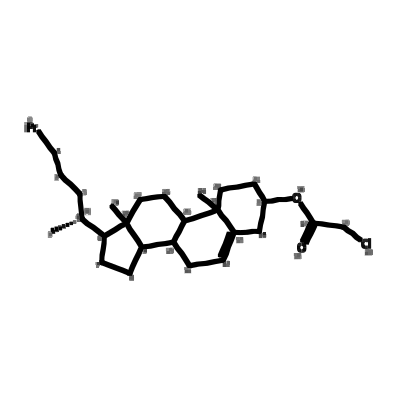 CC(C)CCC[C@@H](C)C1CCC2C3CC=C4CC(OC(=O)CCl)CCC4(C)C3CCC21C